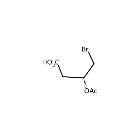 CC(=O)O[C@@H](CBr)CC(=O)O